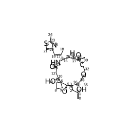 C=CC[C@H]1C(=O)C2(CCC2)[C@@H](O)CC(=O)N[C@H](C(C)=Cc2csc(C)n2)C[C@@H]2O[C@]2(C)CCO[C@H](C)[C@H]1O